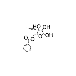 CC#C[C@@]1(O)[C@@H](COC(=O)c2ccccc2)O[C@H](O)[C@@H]1O